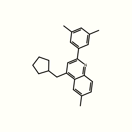 Cc1cc(C)cc(-c2cc(CC3CCCC3)c3cc(C)ccc3n2)c1